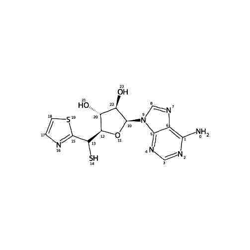 Nc1ncnc2c1ncn2[C@H]1O[C@@H](C(S)c2nccs2)[C@H](O)[C@H]1O